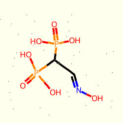 O=P(O)(O)C(C=NO)P(=O)(O)O